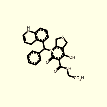 O=C(O)CNC(=O)c1c(O)c2c(n(C(c3ccccc3)c3cccc4c3CC=CN4)c1=O)CSC2